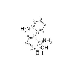 Nc1ccccc1C1=CC=CC(O)(O)C1N